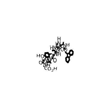 CC(NC(=O)OCC1c2ccccc2-c2ccccc21)C(=O)N[C@@H](C)C(=O)NC(C)C(=O)N[C@@H](Cc1ccc(O)cc1)C(=O)NC(C)C(=O)N[C@@H](C)C(=O)NCC(=O)O